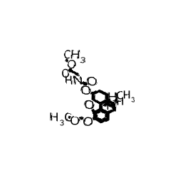 CCOC(=O)CNC(=O)OC1CC[C@H]2[C@H]3Cc4ccc(OCOC)c5c4[C@@]2(CCN3C)C1O5